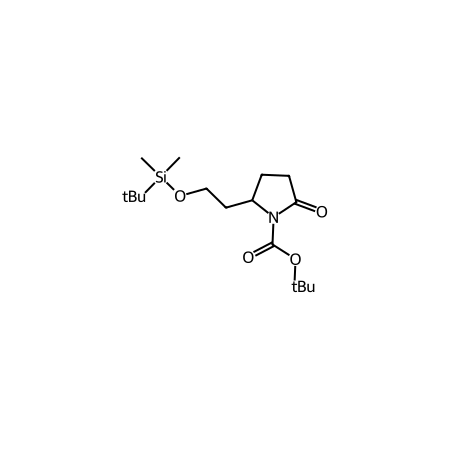 CC(C)(C)OC(=O)N1C(=O)CCC1CCO[Si](C)(C)C(C)(C)C